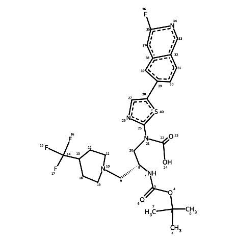 CC(C)(C)OC(=O)N[C@H](CN1CCC(C(F)(F)F)CC1)CN(C(=O)O)c1ncc(-c2ccc3cnc(F)cc3c2)s1